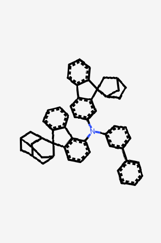 c1ccc(-c2cccc(N(c3ccc4c(c3)C3(CC5CCC3C5)c3ccccc3-4)c3cccc4c3-c3ccccc3C43C4CC5CC(C4)CC3C5)c2)cc1